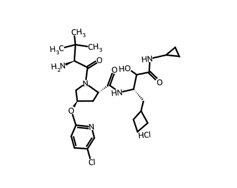 CC(C)(C)[C@H](N)C(=O)N1C[C@H](Oc2ccc(Cl)cn2)C[C@H]1C(=O)N[C@@H](CC1CCC1)C(O)C(=O)NC1CC1.Cl